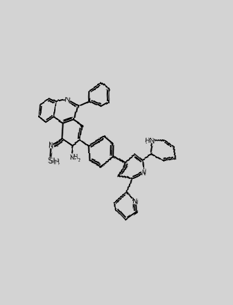 NC1C(c2ccc(-c3cc(-c4ccccn4)nc(C4C=CC=CN4)c3)cc2)=Cc2c(-c3ccccc3)nc3ccccc3c2/C1=N/S